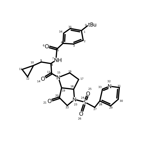 CC(C)(C)c1ccc(C(=O)NC(CC2CC2)C(=O)N2CCC3C2C(=O)CN3S(=O)(=O)Cc2cccnc2)cc1